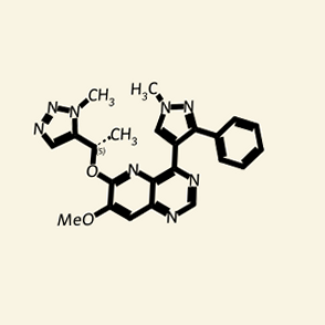 COc1cc2ncnc(-c3cn(C)nc3-c3ccccc3)c2nc1O[C@@H](C)c1cnnn1C